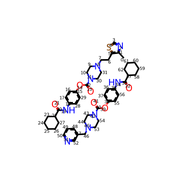 Cc1ncsc1CCN1CCN(C(=O)Oc2ccc(NC(=O)C3CCCCC3)cc2)CC1.O=C(Nc1ccc(OC(=O)N2CCN(Cc3cccnc3)CC2)cc1)C1CCCCC1